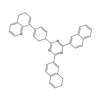 C1=Cc2ccc(-c3nc(-c4ccc5ccccc5c4)nc(C4C=CC(C5=CCCc6cccnc65)=CC4)n3)cc2CC1